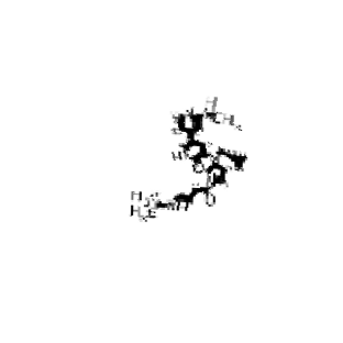 CNc1cc(-c2c[nH]c(=O)c(N(CC3CC3)[C@@H]3CCN(C(=O)/C=C/CNC(C)C)C3)c2)ccn1